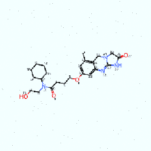 Cc1cc(OCCCC(=O)N(CCO)C2CCCCC2)cc2c1CN1CC(=O)NC1=N2